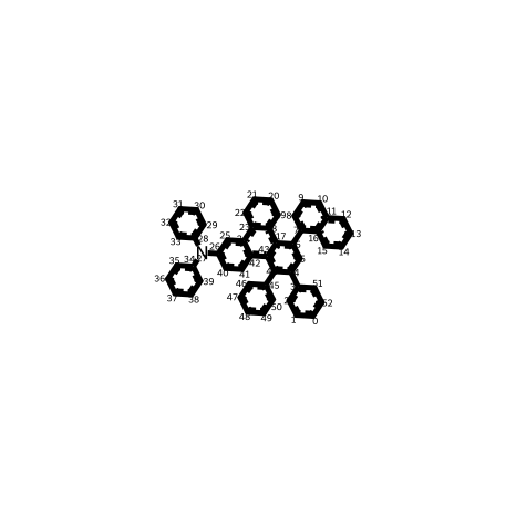 c1ccc(-c2cc(-c3cccc4ccccc34)c3c4ccccc4c4cc(N(c5ccccc5)c5ccccc5)ccc4c3c2-c2ccccc2)cc1